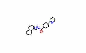 Cc1ccnc(-c2ccc(C(=O)NCc3cccc4ccccc34)cc2)c1